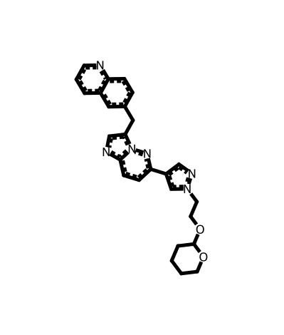 c1cnc2ccc(Cc3cnc4ccc(-c5cnn(CCOC6CCCCO6)c5)nn34)cc2c1